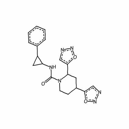 O=C(NC1CC1c1ccccc1)N1CCC(c2cnno2)CC1c1cnno1